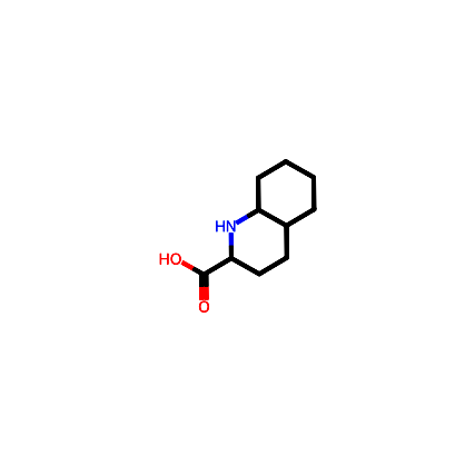 O=C(O)C1CCC2CCCCC2N1